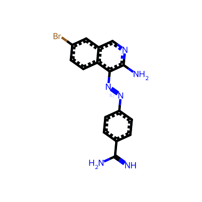 N=C(N)c1ccc(/N=N/c2c(N)ncc3cc(Br)ccc23)cc1